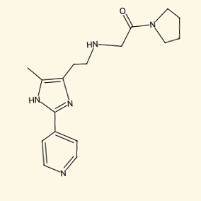 Cc1[nH]c(-c2ccncc2)nc1CCNCC(=O)N1CCCC1